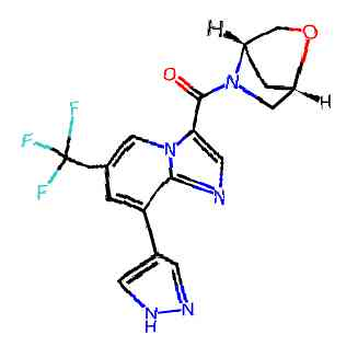 O=C(c1cnc2c(-c3cn[nH]c3)cc(C(F)(F)F)cn12)N1C[C@@H]2C[C@H]1CO2